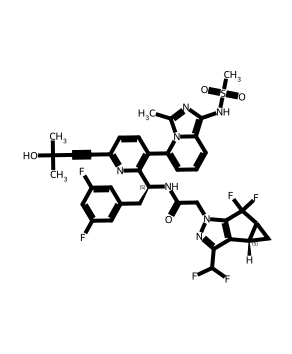 Cc1nc(NS(C)(=O)=O)c2cccc(-c3ccc(C#CC(C)(C)O)nc3[C@H](Cc3cc(F)cc(F)c3)NC(=O)Cn3nc(C(F)F)c4c3C(F)(F)C3C[C@H]43)n12